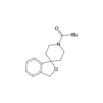 CC(C)(C)C(=O)N1CCC2(CC1)OCc1ccccc12